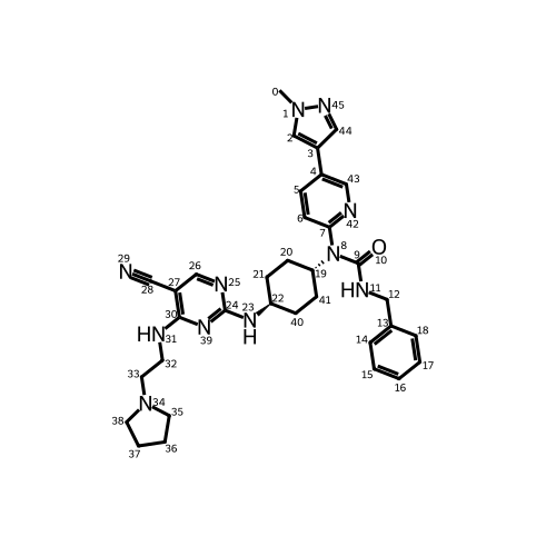 Cn1cc(-c2ccc(N(C(=O)NCc3ccccc3)[C@H]3CC[C@H](Nc4ncc(C#N)c(NCCN5CCCC5)n4)CC3)nc2)cn1